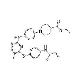 C=CC(=O)Nc1ccc(Sc2nc(Nc3ccc(N4CCC(C(=O)OCC)CC4)cc3)ncc2C)cc1